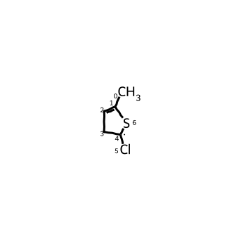 CC1=CC[C](Cl)S1